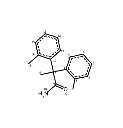 Cc1ccccc1C(C)(C(N)=O)c1ccccc1C